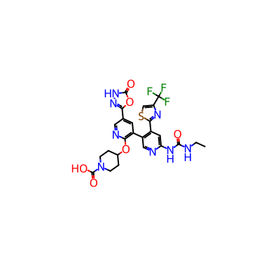 CCNC(=O)Nc1cc(-c2nc(C(F)(F)F)cs2)c(-c2cc(-c3n[nH]c(=O)o3)cnc2OC2CCN(C(=O)O)CC2)cn1